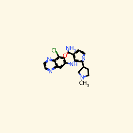 CN1CCC(c2nccc(C(N)=O)c2Nc2cc(Cl)c3nccnc3c2)C1